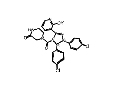 O=C1CN(C(=O)N2C(c3cccnc3O)=N[C@@H](c3ccc(Cl)cc3)[C@H]2c2ccc(Cl)cc2)CCN1